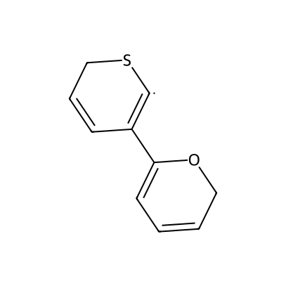 [C]1=C(C2=CC=CCO2)C=CCS1